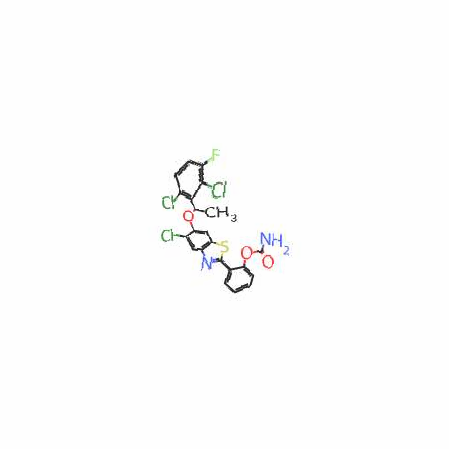 CC(Oc1cc2sc(-c3ccccc3OC(N)=O)nc2cc1Cl)c1c(Cl)ccc(F)c1Cl